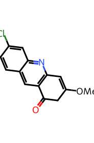 COC1=Cc2nc3cc(Cl)ccc3cc2C(=O)C1